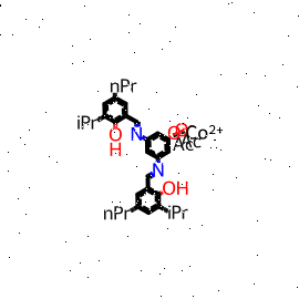 CC(=O)[O-].CC(=O)[O-].CCCc1cc(C=Nc2cccc(N=Cc3cc(CCC)cc(C(C)C)c3O)c2)c(O)c(C(C)C)c1.[Co+2]